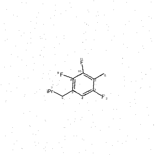 Cc1c(F)cc(CC(C)C)c(F)c1F